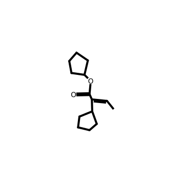 CC=C(C(=O)OC1CCCC1)C1CCCC1